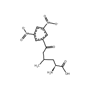 CC(CC(=O)c1cc([N+](=O)[O-])cc([N+](=O)[O-])c1)C[C@H](N)C(=O)O